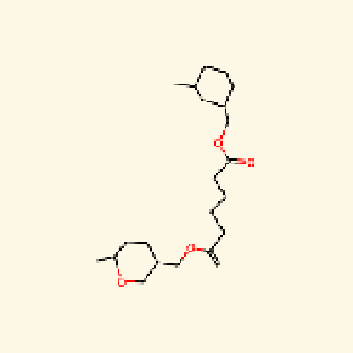 C=C(CCCCC(=O)OCC1CCCC(C)C1)OCC1CCC(C)OC1